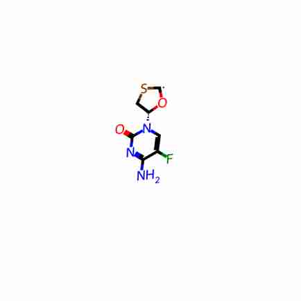 Nc1nc(=O)n([C@@H]2CS[CH]O2)cc1F